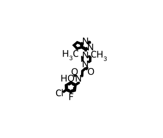 CC1CCc2ncnc(N3CCN(C(=O)CCN(Cc4ccc(Cl)c(F)c4)C(=O)O)CC3C)c21